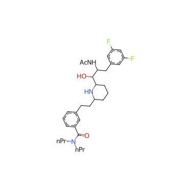 CCCN(CCC)C(=O)c1cccc(CCC2CCCC(C(O)C(Cc3cc(F)cc(F)c3)NC(C)=O)N2)c1